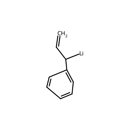 [Li][CH](C=C)c1ccccc1